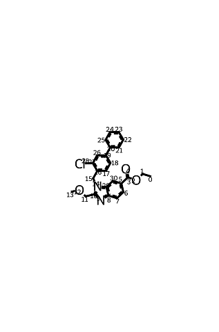 CCOC(=O)c1ccc2nc(COC)n(Cc3ccc(-c4ccccc4)cc3Cl)c2c1